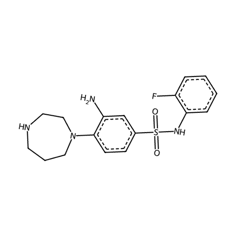 Nc1cc(S(=O)(=O)Nc2ccccc2F)ccc1N1CCCNCC1